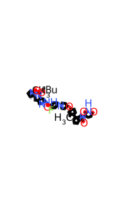 Cc1cc(OC2CCN(c3ccc(C(=O)Nc4cc5c(cn4)cc([C@H]4CCCN4C)n5C(=O)OC(C)(C)C)c(F)c3)CC2)ccc1-c1cccc2c1CN(C1CCC(=O)NC1=O)C2=O